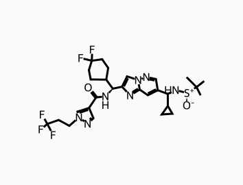 CC(C)(C)[S@+]([O-])NC(c1cnn2cc([C@@H](NC(=O)c3cnn(CCC(F)(F)F)c3)C3CCC(F)(F)CC3)nc2c1)C1CC1